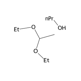 CCCO.CCOC(C)OCC